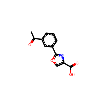 CC(=O)c1cccc(-c2nc(C(=O)O)co2)c1